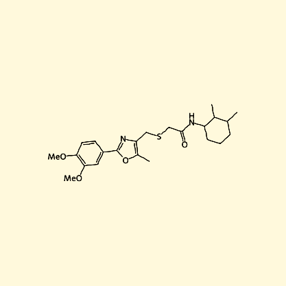 COc1ccc(-c2nc(CSCC(=O)NC3CCCC(C)C3C)c(C)o2)cc1OC